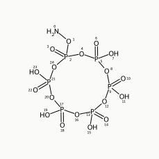 NOP1(=O)OP(=O)(O)OP(=O)(O)OP(=O)(O)OP(=O)(O)OP(=O)(O)O1